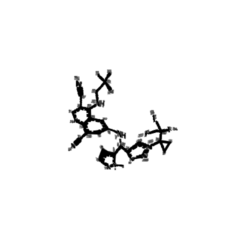 Cn1nccc1[C@H](Nc1cc(C#N)c2ncc(C#N)c(NCC(C)(C)C)c2c1)c1cn(C2(C(F)(F)F)CC2)nn1